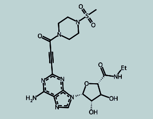 CCNC(=O)[C@H]1O[C@@H](n2cnc3c(N)nc(C#CC(=O)N4CCN(S(C)(=O)=O)CC4)nc32)[C@@H](O)C1O